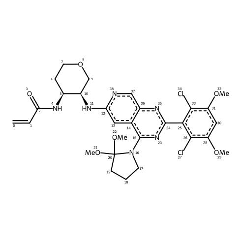 C=CC(=O)N[C@H]1CCOC[C@H]1Nc1cc2c(N3CCCC3(OC)OC)nc(-c3c(Cl)c(OC)cc(OC)c3Cl)nc2cn1